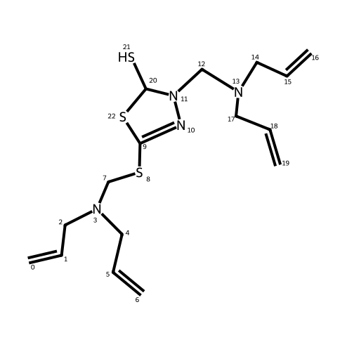 C=CCN(CC=C)CSC1=NN(CN(CC=C)CC=C)C(S)S1